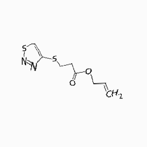 C=CCOC(=O)CCSc1csnn1